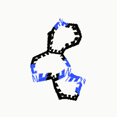 c1cc2c(cn1)cnc1ccnn12